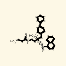 CCN(CC)c1cccc2ccccc12.C[C@](CCNC(=O)CCC(=O)O)(Cc1ccc(-c2ccccc2)cc1)C(=O)O